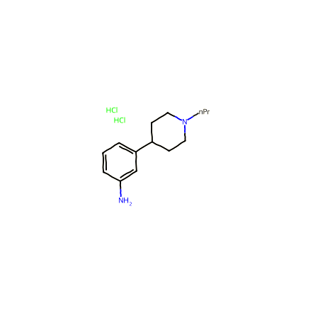 CCCN1CCC(c2cccc(N)c2)CC1.Cl.Cl